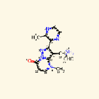 Cc1nccnc1-c1nn2c(=O)ccn(C)c2c1C.NC=O